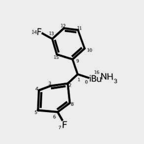 CCC(C)C(c1cccc(F)c1)c1cccc(F)c1.N